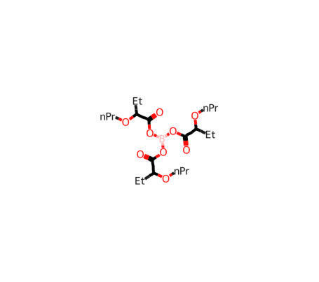 CCCOC(CC)C(=O)OB(OC(=O)C(CC)OCCC)OC(=O)C(CC)OCCC